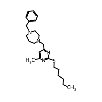 CCCCCCSc1nc(C)cc(CN2CCCN(Cc3ccccc3)CC2)n1